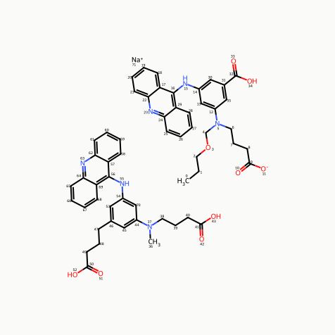 CCCOCN(CCCC(=O)[O-])c1cc(Nc2c3ccccc3nc3ccccc23)cc(C(=O)O)c1.CN(CCCC(=O)O)c1cc(CCCC(=O)O)cc(Nc2c3ccccc3nc3ccccc23)c1.[Na+]